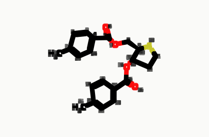 Cc1ccc(C(=O)OC[C@H]2SCC[C@H]2OC(=O)c2ccc(C)cc2)cc1